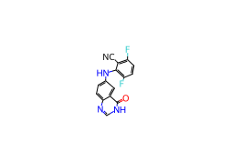 N#Cc1c(F)ccc(F)c1Nc1ccc2nc[nH]c(=O)c2c1